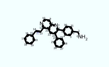 NCc1ccc(-c2nc3ccnc(/C=C/c4ccccc4)c3cc2-c2ccccc2)cc1